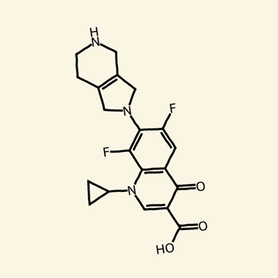 O=C(O)c1cn(C2CC2)c2c(F)c(N3CC4=C(CNCC4)C3)c(F)cc2c1=O